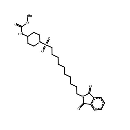 CC(C)(C)OC(=O)NC1CCN(S(=O)(=O)CCCCCCCCCCN2C(=O)c3ccccc3C2=O)CC1